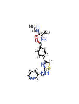 CCC(C)C(NC(=O)c1ccc(-c2csc(Nc3cccnc3)n2)cc1)C(=O)NCC#N